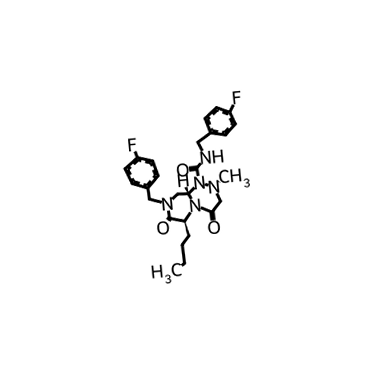 CCCC[C@H]1C(=O)N(Cc2ccc(F)cc2)C[C@H]2N1C(=O)CN(C)N2C(=O)NCc1ccc(F)cc1